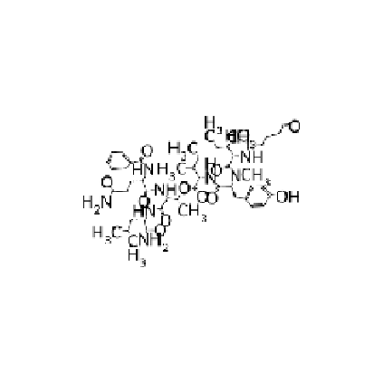 CCC(C)[C@H](NC(=O)[C@H](Cc1ccc(O)cc1)N(C)C(=O)[C@@H](N[C@@H](O)CCCC=O)C(C)CC)C(=O)O[C@H](C)[C@H](NC(=O)[C@H](CCC(N)=O)NC(=O)c1ccccc1)C(=O)N[C@@H](CC(C)C)C(N)=O